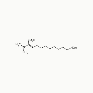 CCCCCCCCCCCCCCCCCC/C=C(\C(=O)O)N(C)C